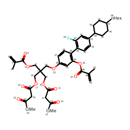 C=C(C)C(=O)OCC(COC(=O)CC(=O)OC)(COC(=O)CC(=O)OC)COc1ccc(-c2ccc(C3CCC(CCCCCC)CC3)cc2F)c(OC(=O)C(=C)C)c1